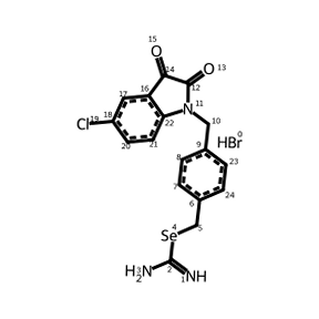 Br.N=C(N)[Se]Cc1ccc(CN2C(=O)C(=O)c3cc(Cl)ccc32)cc1